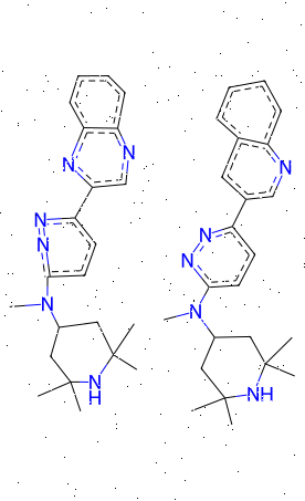 CN(c1ccc(-c2cnc3ccccc3c2)nn1)C1CC(C)(C)NC(C)(C)C1.CN(c1ccc(-c2cnc3ccccc3n2)nn1)C1CC(C)(C)NC(C)(C)C1